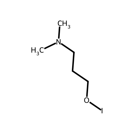 CN(C)CCCOI